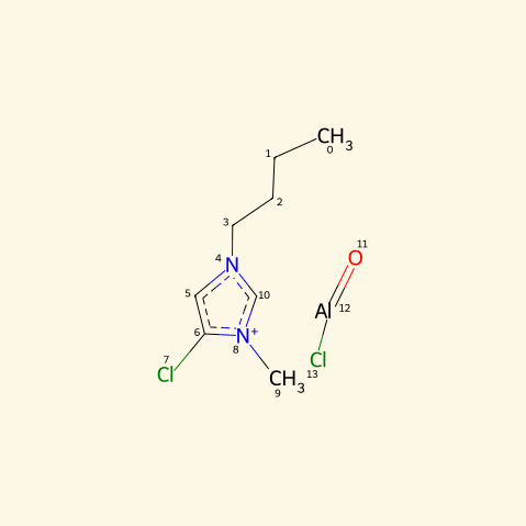 CCCCn1cc(Cl)[n+](C)c1.[O]=[Al][Cl]